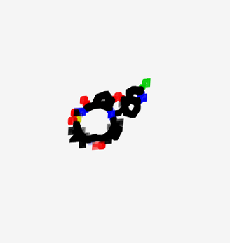 O=C1NS(=O)(=O)C[C@@H]2C[C@H]2/C=C/[C@H](O)[C@@H]2CC[C@H]2CN2C[C@@]3(CCCc4nc(Cl)ccc43)COc3ccc1cc32